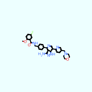 COc1ccc(F)cc1C(=O)NCc1ccc(-c2ncc(-c3ccc(CN4CCOCC4)cn3)c3[nH]nc(N)c23)cc1